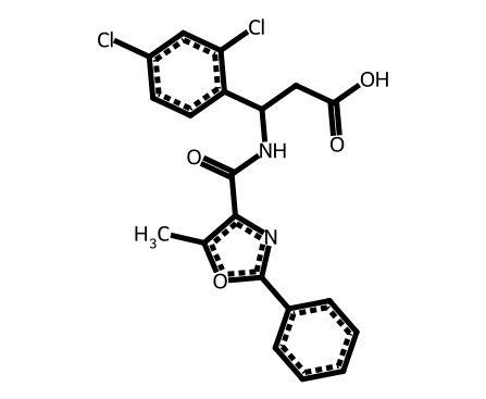 Cc1oc(-c2ccccc2)nc1C(=O)NC(CC(=O)O)c1ccc(Cl)cc1Cl